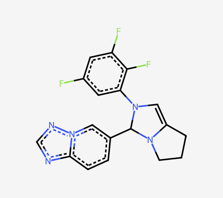 Fc1cc(F)c(F)c(N2C=C3CCCN3C2c2ccc3ncnn3c2)c1